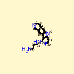 Cn1c2cc3ccncc3cc2c2c(NCCCN)nccc21